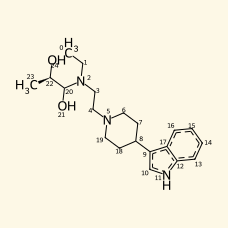 CCN(CCN1CCC(c2c[nH]c3ccccc23)CC1)C(O)[C@@H](C)O